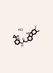 Cl.NC1(c2cccc(NC(=O)Cc3ccc4c(c3)[nH]c3cc(F)c(F)cc34)c2)CC1